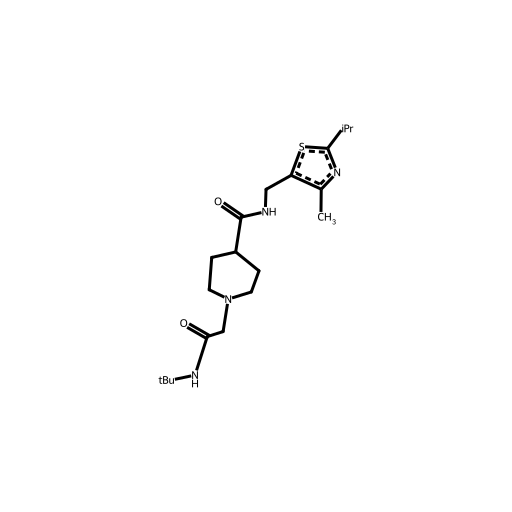 Cc1nc(C(C)C)sc1CNC(=O)C1CCN(CC(=O)NC(C)(C)C)CC1